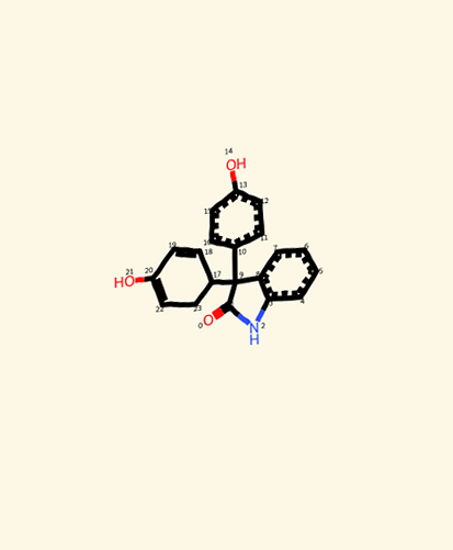 O=C1Nc2ccccc2C1(c1ccc(O)cc1)C1C=CC(O)=CC1